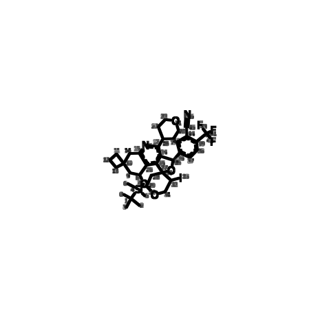 CC(C)(C)[Si](C)(C)OC1CC2(CCC2)Cc2nc(C3CCOCC3)c3c(c21)C1(CCOCC1I)O[C@@H]3c1ccc(C(F)(F)F)c(C#N)c1